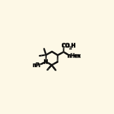 CCCCCCC(C(=O)O)C1CC(C)(C)N(CCC)C(C)(C)C1